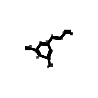 CCc1cc(C=CN)cc(CC)c1